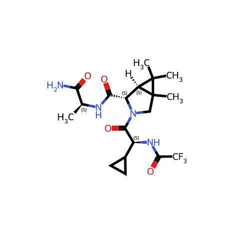 C[C@H](NC(=O)[C@@H]1[C@H]2C(C)(C)C2(C)CN1C(=O)[C@@H](NC(=O)C(F)(F)F)C1CC1)C(N)=O